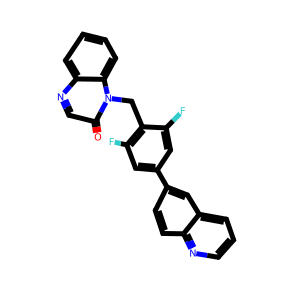 O=c1cnc2ccccc2n1Cc1c(F)cc(-c2ccc3ncccc3c2)cc1F